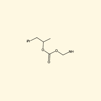 CC(C)CC(C)OC(=O)OC[NH]